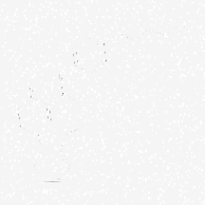 CCN1C2=C(C(=O)Nc3ccc(OCCNC(C)C)cc3)C(=O)CCN2c2ccccc21